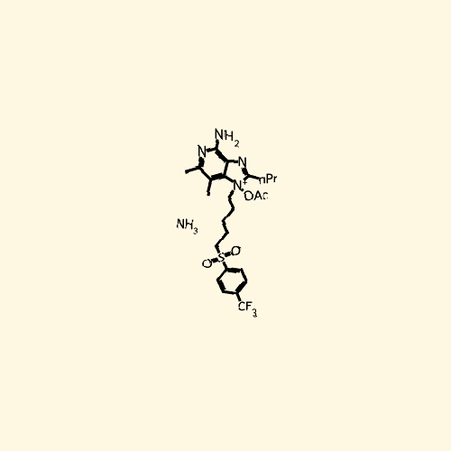 CCCC1=Nc2c(N)nc(C)c(C)c2[N+]1(CCCCCS(=O)(=O)c1ccc(C(F)(F)F)cc1)OC(C)=O.N